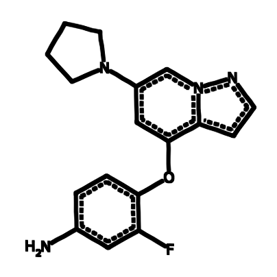 Nc1ccc(Oc2cc(N3CCCC3)cn3nccc23)c(F)c1